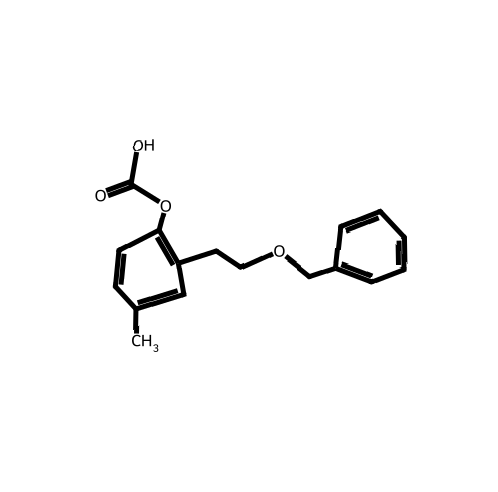 Cc1ccc(OC(=O)O)c(CCOCc2ccccc2)c1